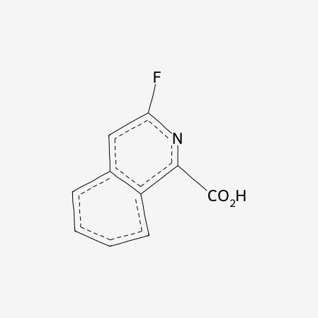 O=C(O)c1nc(F)cc2ccccc12